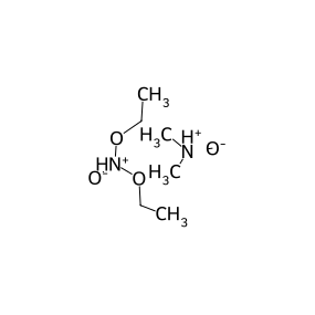 CCO[NH+]([O-])OCC.C[NH+](C)[O-]